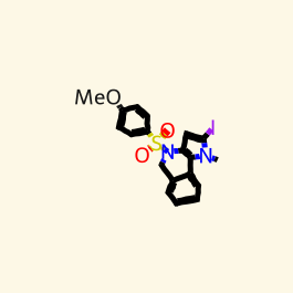 COc1ccc(S(=O)(=O)N2Cc3ccccc3-c3c2cc(I)n3C)cc1